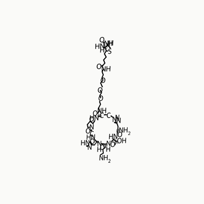 C[C@H](O)[C@@H]1NC(=O)[C@@H](N)Cc2cn(nn2)CCCC[C@@H](C(=O)NCCCOCCOCCOCCCNC(=O)CCCCC2SC[C@H]3NC(=O)N[C@@H]23)NC(=O)C2CCCN2C(=O)CNC(=O)[C@H](Cc2c[nH]cn2)NC(=O)[C@H](CCCCN)NC1=O